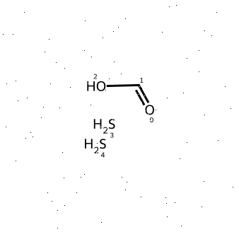 O=CO.S.S